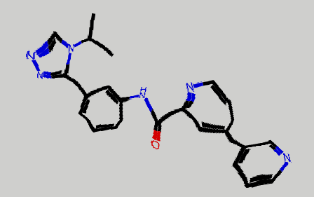 CC(C)n1cnnc1-c1cccc(NC(=O)c2cc(-c3cccnc3)ccn2)c1